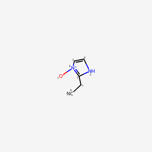 N#CCc1[nH]cc[n+]1[O-]